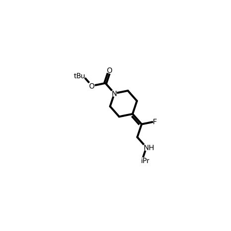 CC(C)NCC(F)=C1CCN(C(=O)OC(C)(C)C)CC1